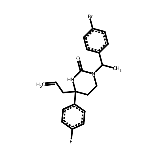 C=CCC1(c2ccc(F)cc2)CCN(C(C)c2ccc(Br)cc2)C(=O)N1